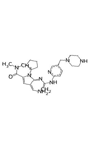 C=C(/N=C1\C(=C/N)C=C(C(=O)N(C)C)N1C1CCCC1)Nc1ccc(CN2CCNCC2)cn1